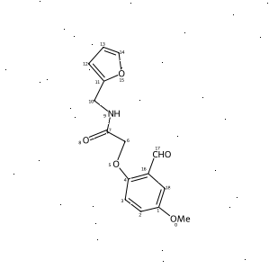 COc1ccc(OCC(=O)NCc2ccco2)c(C=O)c1